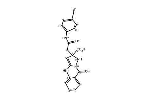 O=C(CC1(C(=O)O)C=C2Nc3ccccc3C(=O)N2N1)Nc1ccc(F)cn1